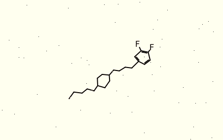 CCCCCC1CCC(CCCCc2ccc(F)c(F)c2)CC1